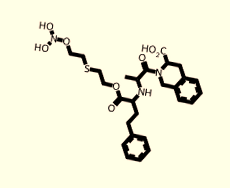 CC(NC(CCc1ccccc1)C(=O)OCCSCCON(O)O)C(=O)N1Cc2ccccc2CC1C(=O)O